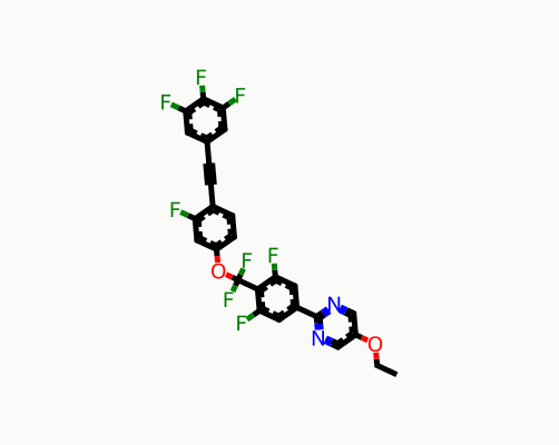 CCOc1cnc(-c2cc(F)c(C(F)(F)Oc3ccc(C#Cc4cc(F)c(F)c(F)c4)c(F)c3)c(F)c2)nc1